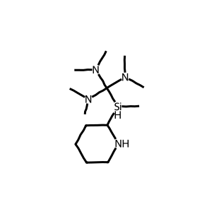 CN(C)C(N(C)C)(N(C)C)[SiH](C)C1CCCCN1